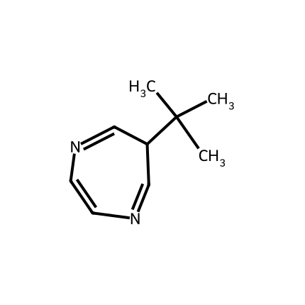 CC(C)(C)C1C=NC=CN=C1